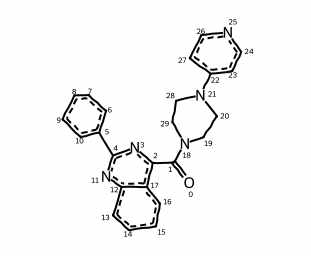 O=C(c1nc(-c2ccccc2)nc2ccccc12)N1CCN(c2ccncc2)CC1